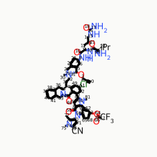 C#CCOCc1cc(NC(=O)[C@H](CCCNC(N)=O)NC(=O)[C@@H](N)C(C)C)ccc1C[N+](C)(C)CCC[C@@H]1Cc2ccccc2CN1C(=O)c1ccc(Cl)cc1-c1cc(C(=O)N(c2ccc(OC(=O)C(F)(F)F)cc2)c2cc(C#N)n(C)c2C)c(C)n1C